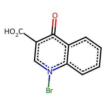 O=C(O)c1cn(Br)c2ccccc2c1=O